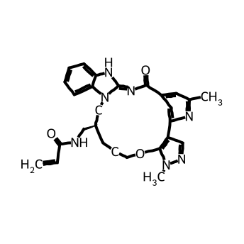 C=CC(=O)NC[C@@H]1CCCOc2c(cnn2C)-c2cc(cc(C)n2)C(=O)/N=C2\Nc3ccccc3N2C1